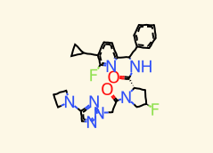 O=C(N[C@@H](c1ccccc1)c1ccc(C2CC2)c(F)n1)[C@@H]1C[C@@H](F)CN1C(=O)Cn1ncc(N2CCC2)n1